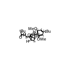 COc1cc(C(C)(C)C)cc(OC)c1[C@@H]1C=C(COC(=O)C(C)(C)C)[C@@H]2C[C@H]1C2(C)C